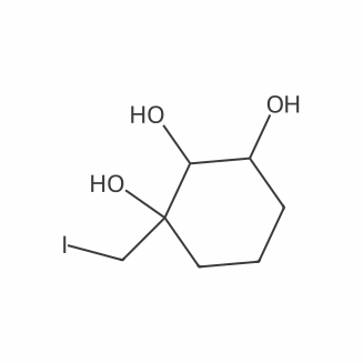 OC1CCCC(O)(CI)C1O